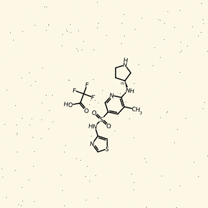 Cc1cc(S(=O)(=O)Nc2cscn2)cnc1N[C@H]1CCNC1.O=C(O)C(F)(F)F